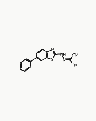 N#CC(C#N)=NNc1nc2ccc(-c3ccccc3)cc2s1